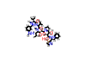 CC[C@H](C)[C@@H]([C@@H](CC(=O)N1CCC[C@H]1[C@H](OC)[C@@H](C)C(O)N[C@@H](Cc1ccccc1)c1nccs1)OC)N(C)C(=O)[C@@H](NC(=O)[C@H](C(C)C)N(C)Cc1cccc(NC)c1)C(C)C